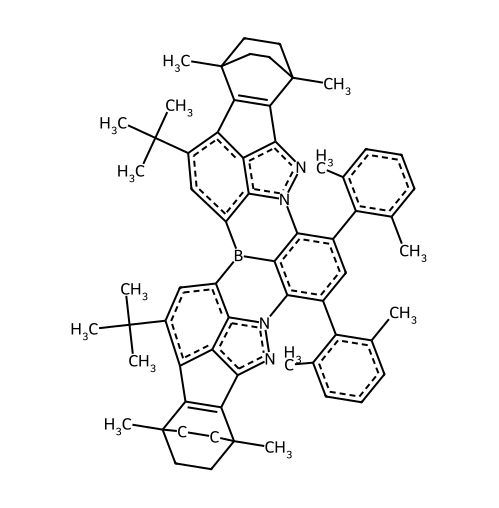 Cc1cccc(C)c1-c1cc(-c2c(C)cccc2C)c2c3c1-n1nc4c5c(c(C(C)(C)C)cc(c51)B3c1cc(C(C)(C)C)c3c5c(nn-2c15)C1=C3C2(C)CCC1(C)CC2)C1=C4C2(C)CCC1(C)CC2